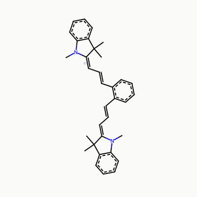 CN1C(=CC=Cc2ccccc2C=C/C=C2/N(C)c3ccccc3C2(C)C)C(C)(C)c2ccccc21